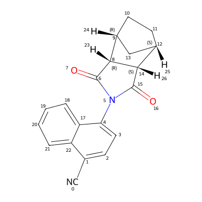 N#Cc1ccc(N2C(=O)[C@@H]3[C@@H]4CC[C@@H](C4)[C@@H]3C2=O)c2ccccc12